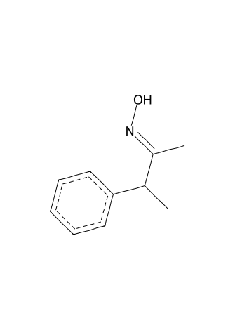 CC(=NO)C(C)c1ccccc1